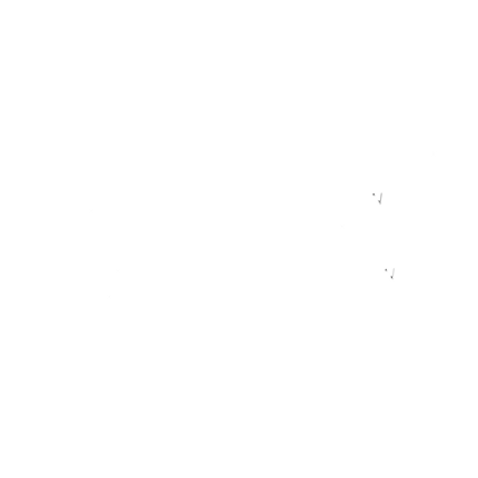 C1=CCC(N2C3=CC=C(c4ccc(-c5ccc(-c6c7ccccc7c(-c7ccccc7)c7ccccc67)cc5)cc4)CC3c3cnccc32)C=C1